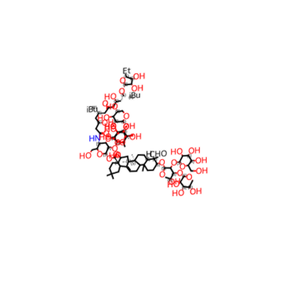 CC[C@@H](C)[C@@H](CC(=O)C[C@@H](O)C[C@H](O[C@@H]1O[C@@H](CC)[C@@H](O)C1O)[C@H](C)CC)C[C@H](O)CC(=O)N[C@H]1C(CO)O[C@@H](OC(=O)[C@]23CCC(C)(C)CC2C2=CCC4C5(C)CC[C@H](O[C@@H]6OC[C@@H](O)[C@H](O[C@@H]7OC[C@@H](O)[C@H](O)C7O)C6O[C@@H]6OC(CO)[C@H](O)[C@H](O)C6O)[C@](C)(C=O)[C@@H]5CC[C@]4(C)[C@]2(C)CC3O)[C@H](O[C@@H]2OC(C)[C@H](O[C@@H]3OC[C@@H](O)C(O)[C@H]3O)C(O)[C@@H]2O)C1O[C@@H]1OC(C)[C@H](O)[C@H](O)C1O